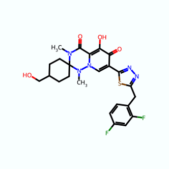 CN1C(=O)c2c(O)c(=O)c(-c3nnc(Cc4ccc(F)cc4F)s3)cn2N(C)C12CCC(CO)CC2